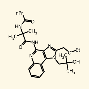 CCCC(=O)NC(C)(C)C(=O)Nc1nc2ccccc2c2c1nc(COCC)n2CC(C)(C)O